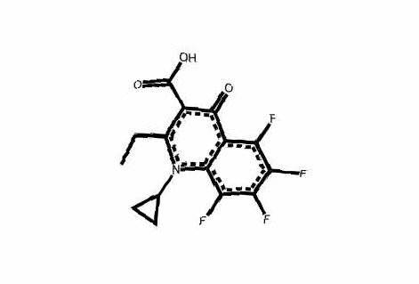 CCc1c(C(=O)O)c(=O)c2c(F)c(F)c(F)c(F)c2n1C1CC1